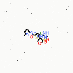 Cc1cccc(NC(=O)c2cc(Cl)c([C@]34CCOCC3S(=O)(=O)N(C)C(=N)N4)s2)n1